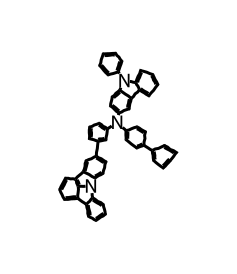 c1ccc(-c2ccc(N(c3cccc(-c4ccc5c(c4)c4cccc6c7ccccc7n5c64)c3)c3ccc4c(c3)c3ccccc3n4-c3ccccc3)cc2)cc1